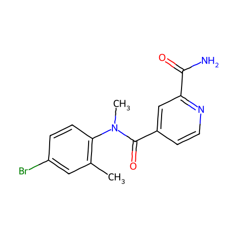 Cc1cc(Br)ccc1N(C)C(=O)c1ccnc(C(N)=O)c1